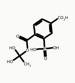 CC(O)(O)OC(=O)c1ccc(C(=O)O)cc1P(=O)(O)O